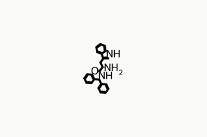 N[C@@H](Cc1c[nH]c2ccccc12)C(=O)NC(c1ccccc1)c1ccccc1